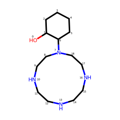 OC1CCCCC1N1CCNCCNCCNCC1